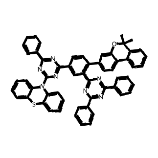 CC1(C)Oc2cc(-c3ccc(-c4nc(-c5ccccc5)nc(N5c6ccccc6Sc6ccccc65)n4)cc3-c3nc(-c4ccccc4)nc(-c4ccccc4)n3)ccc2-c2ccccc21